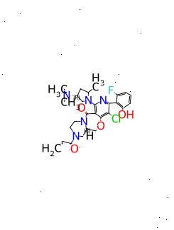 C=CC(=O)N1CCN2C(=O)c3c(N4C[C@H](N(C)C)CC4C)nc(-c4c(O)cccc4F)c(Cl)c3OC[C@H]2C1